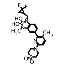 Cc1ccc(N2CCS(=O)(=O)CC2)nc1-c1ccc2c(c1)N(C)S(O)(O)N2CC1CC1(F)F